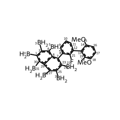 Bc1c(B)c(B)c2c(-c3cccc(-c4c(OC)cccc4OC)c3F)c(B)c(B)c(B)c2c1B